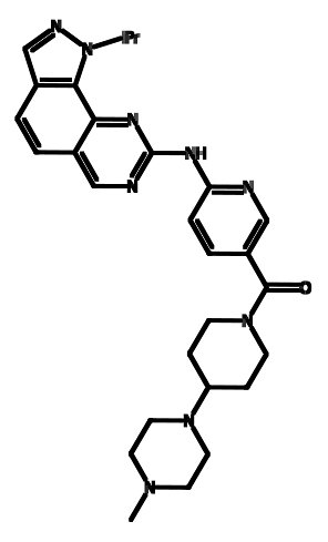 CC(C)n1ncc2ccc3cnc(Nc4ccc(C(=O)N5CCC(N6CCN(C)CC6)CC5)cn4)nc3c21